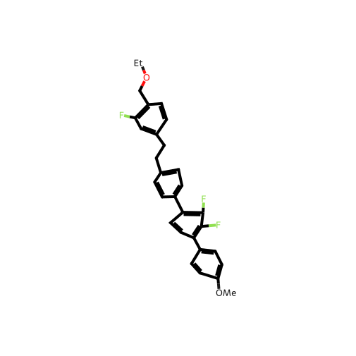 CCOCc1ccc(CCc2ccc(-c3ccc(-c4ccc(OC)cc4)c(F)c3F)cc2)cc1F